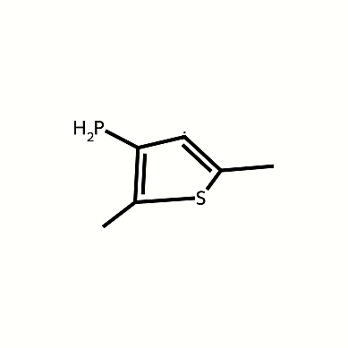 Cc1[c]c(P)c(C)s1